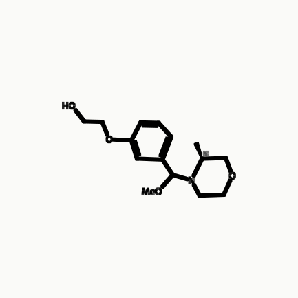 COC(c1cccc(OCCO)c1)N1CCOC[C@@H]1C